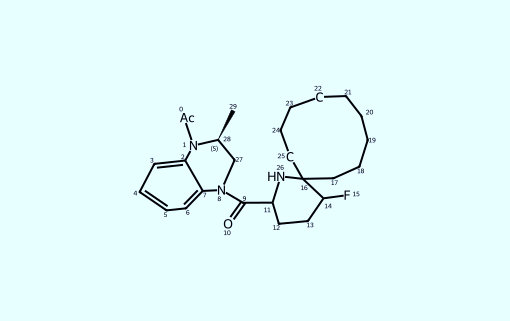 CC(=O)N1c2ccccc2N(C(=O)C2CCC(F)C3(CCCCCCCCC3)N2)C[C@@H]1C